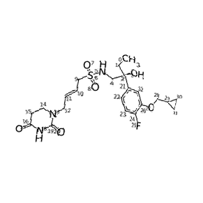 CC[C@@](O)(CNS(=O)(=O)C/C=C/CN1CCC(=O)NC1=O)c1ccc(F)c(OCC2CC2)c1